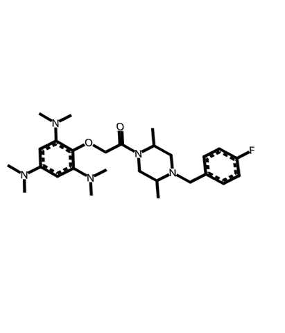 CC1CN(C(=O)COc2c(N(C)C)cc(N(C)C)cc2N(C)C)C(C)CN1Cc1ccc(F)cc1